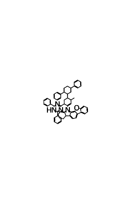 CC1C=C(N2C3=CCCCC3c3ccc4c(oc5ccccc54)c32)C(C2=NC(c3ccccc3)NC(C3C=CC=CC3)=N2)CC1C1CC(c2ccccc2)CCC1c1ccccc1